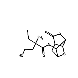 CC(CI)(CCO)C(=O)OC1C2CC3C(=O)OC1C3O2